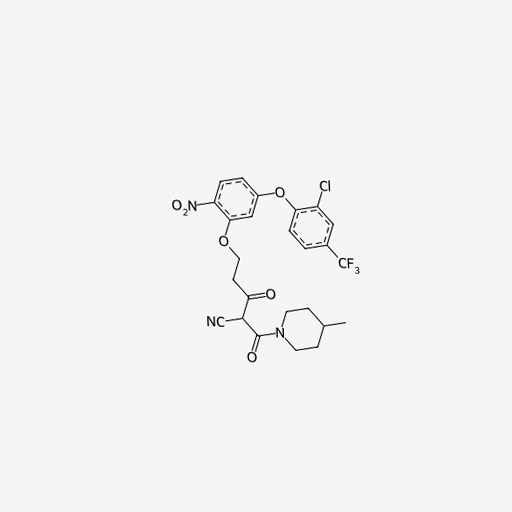 CC1CCN(C(=O)C(C#N)C(=O)CCOc2cc(Oc3ccc(C(F)(F)F)cc3Cl)ccc2[N+](=O)[O-])CC1